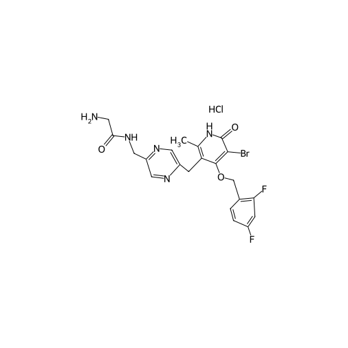 Cc1[nH]c(=O)c(Br)c(OCc2ccc(F)cc2F)c1Cc1cnc(CNC(=O)CN)cn1.Cl